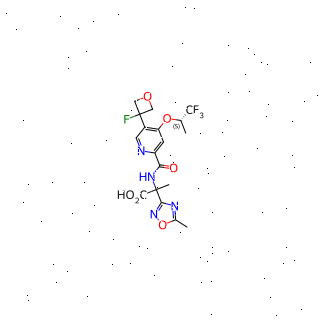 Cc1nc(C(C)(NC(=O)c2cc(O[C@@H](C)C(F)(F)F)c(C3(F)COC3)cn2)C(=O)O)no1